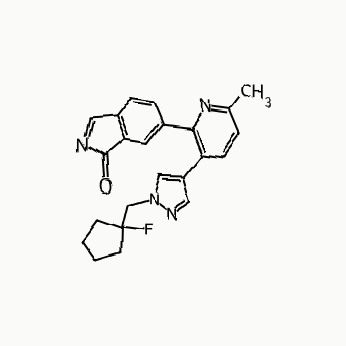 Cc1ccc(-c2cnn(CC3(F)CCCC3)c2)c(-c2ccc3c(c2)C(=O)N=C3)n1